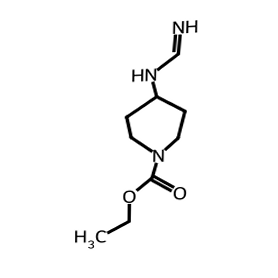 CCOC(=O)N1CCC(NC=N)CC1